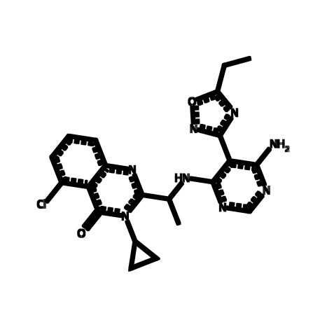 CCc1nc(-c2c(N)ncnc2NC(C)c2nc3cccc(Cl)c3c(=O)n2C2CC2)no1